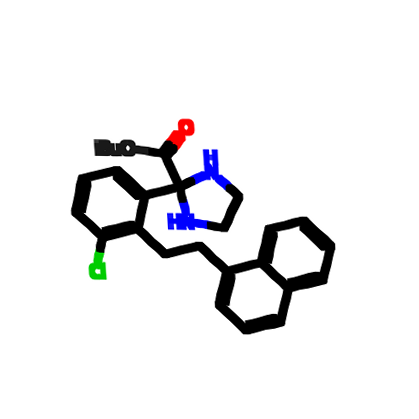 CC(C)COC(=O)C1(c2cccc(Cl)c2CCc2cccc3ccccc23)NCCN1